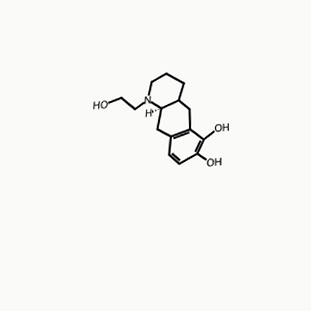 OCCN1CCCC2Cc3c(ccc(O)c3O)C[C@H]21